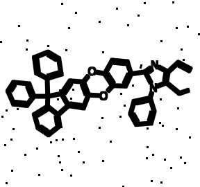 C=Cc1nc(-c2ccc3c(c2)Oc2cc4c(cc2O3)C(c2ccccc2)(c2ccccc2)c2ccccc2-4)n(-c2ccccc2)c1CC